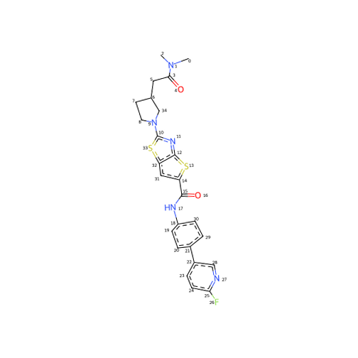 CN(C)C(=O)CC1CCN(c2nc3sc(C(=O)Nc4ccc(-c5ccc(F)nc5)cc4)cc3s2)C1